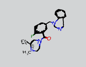 CC[C@H]1CN(C(=O)c2cc(CN3CN=Cc4ccccc43)ccc2F)CCN1C